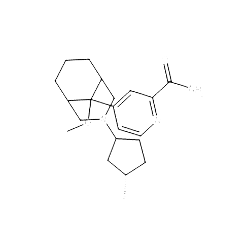 COC1(c2ccnc(C(N)=O)c2)C2CCCC1CN(C1CC[C@H](C)C1)C2